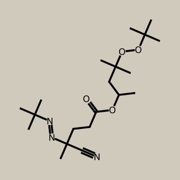 CC(CC(C)(C)OOC(C)(C)C)OC(=O)CCC(C)(C#N)/N=N/C(C)(C)C